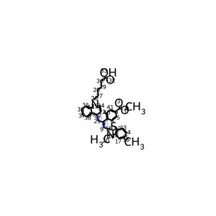 COC(=O)c1ccc(C(=C\c2sc3ccc(C)cc3[n+]2C)/C=C2\C=CN(CCCCCC(=O)O)c3ccccc32)cc1